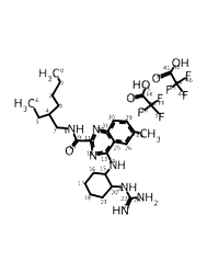 CCCCC(CC)CNC(=O)c1nc(NC2CCCCC2NC(=N)N)c2cc(C)ccc2n1.O=C(O)C(F)(F)F.O=C(O)C(F)(F)F